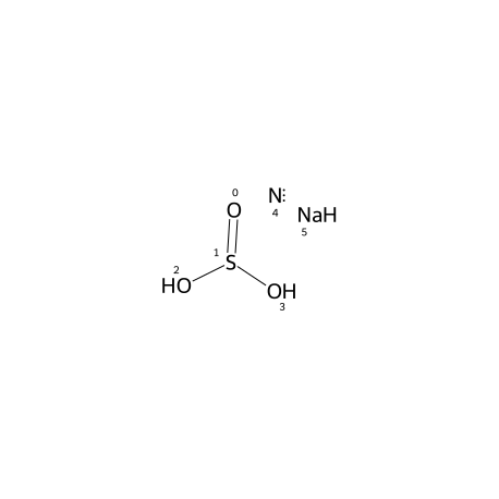 O=S(O)O.[N].[NaH]